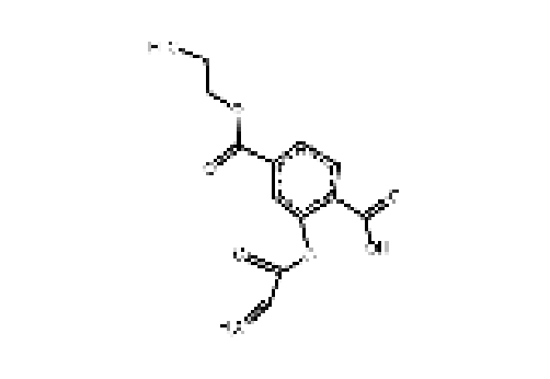 C=CC(=O)Oc1cc(C(=O)OCCC)ccc1C(=O)O